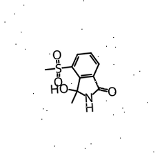 CC1(O)NC(=O)c2cccc(S(C)(=O)=O)c21